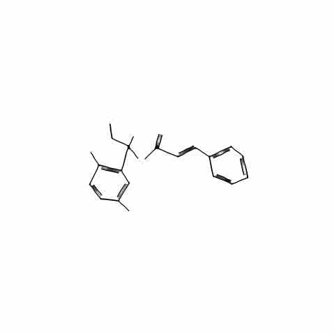 CC(CO)(NC(=O)C=Cc1ccccc1)c1cc(Br)ccc1F